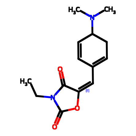 CCN1C(=O)O/C(=C/C2=CCC(N(C)C)C=C2)C1=O